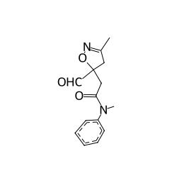 CC1=NOC(C=O)(CC(=O)N(C)c2ccccc2)C1